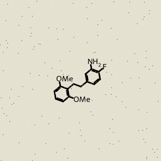 COc1cccc(OC)c1CCc1ccc(F)c(N)c1